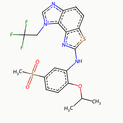 CC(C)Oc1ccc(S(C)(=O)=O)cc1Nc1nc2c(ccc3ncn(CC(F)(F)F)c32)s1